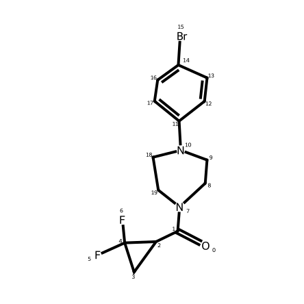 O=C(C1CC1(F)F)N1CCN(c2ccc(Br)cc2)CC1